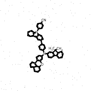 CC1(C)c2ccccc2-c2ccc(N(c3ccc(-c4ccc5c(c4)c4ccccc4n5-c4ccc(C#N)cc4)cc3)c3ccc4c(c3)Oc3cccc5cccc-4c35)cc21